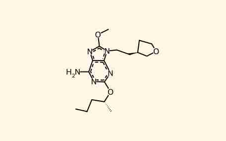 CCC[C@@H](C)Oc1nc(N)c2nc(OC)n(CC[C@H]3CCOC3)c2n1